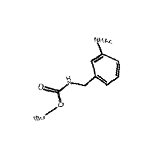 CC(=O)Nc1cccc(CNC(=O)OC(C)(C)C)c1